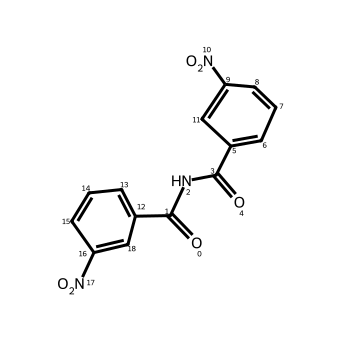 O=C(NC(=O)c1cccc([N+](=O)[O-])c1)c1cccc([N+](=O)[O-])c1